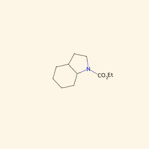 CCOC(=O)N1CCC2CCCCC21